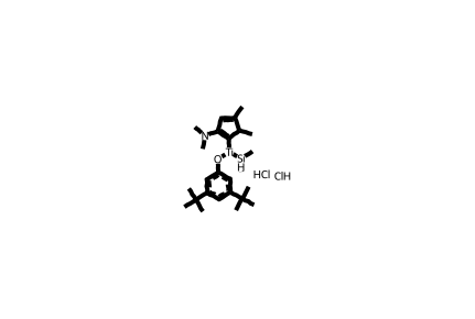 CC1=CC(N(C)C)=[C]([Ti]([O]c2cc(C(C)(C)C)cc(C(C)(C)C)c2)[SiH](C)C)C1C.Cl.Cl